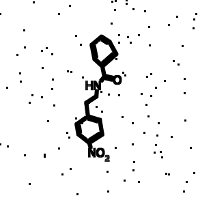 O=C(NCCc1ccc([N+](=O)[O-])cc1)c1ccccc1